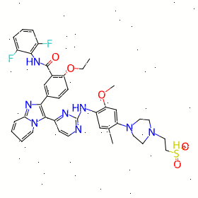 CCOc1ccc(-c2nc3ccccn3c2-c2ccnc(Nc3cc(C)c(N4CCN(CC[SH](=O)=O)CC4)cc3OC)n2)cc1C(=O)Nc1c(F)cccc1F